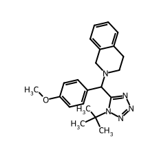 COc1ccc(C(c2nnnn2C(C)(C)C)N2CCc3ccccc3C2)cc1